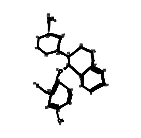 N#Cc1ccc(O[C@H]2c3ccccc3CC[C@@H]2N2CCC[C@H](N)C2)c(F)c1